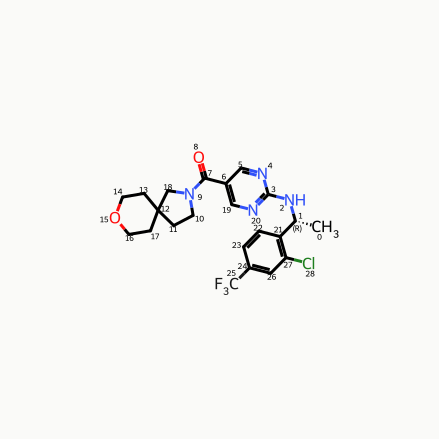 C[C@@H](Nc1ncc(C(=O)N2CCC3(CCOCC3)C2)cn1)c1ccc(C(F)(F)F)cc1Cl